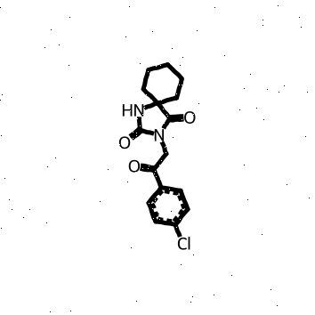 O=C(CN1C(=O)NC2(CCCCC2)C1=O)c1ccc(Cl)cc1